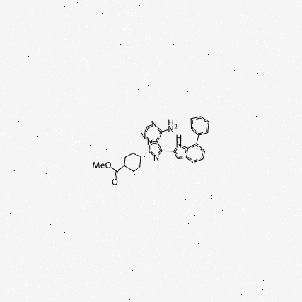 COC(=O)[C@H]1CC[C@H](c2nc(-c3cc4cccc(-c5ccccc5)c4[nH]3)c3c(N)ncnn32)CC1